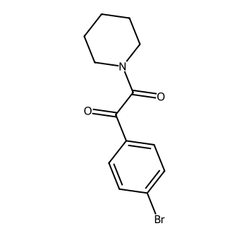 O=C(C(=O)N1CCCCC1)c1ccc(Br)cc1